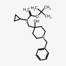 C=C(OC(C)(C)C)N(CC1(O)CCN(Cc2ccccc2)CC1)C1CC1